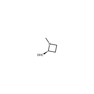 CN1CC[C@H]1C=O